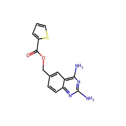 Nc1nc(N)c2cc(COC(=O)c3cccs3)ccc2n1